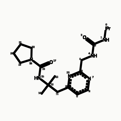 CC(C)NC(=O)NCc1nccc(CC(C)(C)NC(=O)N2CCCC2)n1